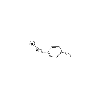 OB/C=C/c1ccc(C(F)(F)F)cc1